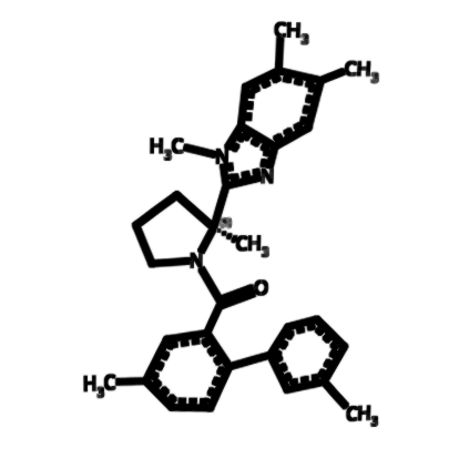 Cc1cccc(-c2ccc(C)cc2C(=O)N2CCC[C@@]2(C)c2nc3cc(C)c(C)cc3n2C)c1